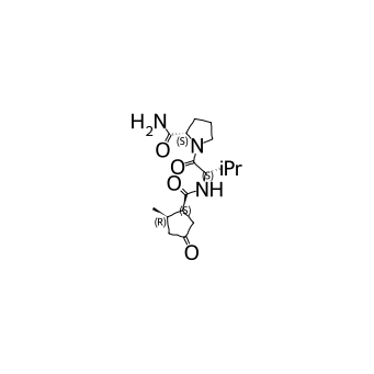 CC(C)[C@H](NC(=O)[C@H]1CC(=O)C[C@H]1C)C(=O)N1CCC[C@H]1C(N)=O